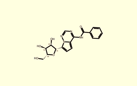 O=C(Nc1ncnn2c([C@@H]3O[C@H](CO)[C@@H](O)[C@H]3O)ccc12)c1ccccc1